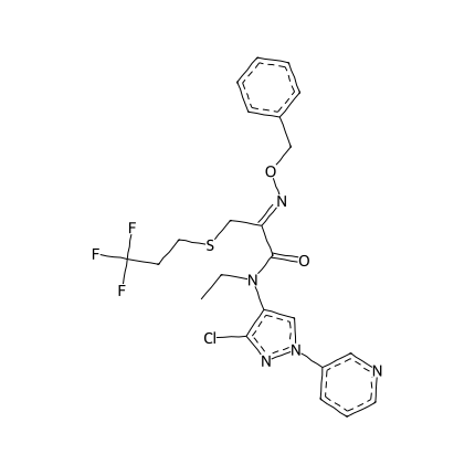 CCN(C(=O)C(CSCCC(F)(F)F)=NOCc1ccccc1)c1cn(-c2cccnc2)nc1Cl